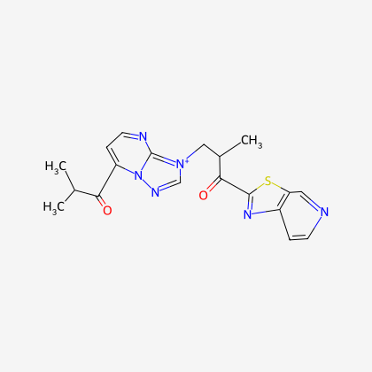 CC(C)C(=O)c1ccnc2n1nc[n+]2CC(C)C(=O)c1nc2ccncc2s1